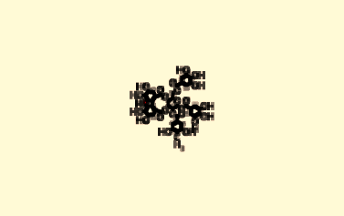 Cc1c(O)cc(C(=O)OC2C(OC(=O)c3cc(O)c(O)c(O)c3)OC(COC(=O)c3cc(O)c(O)c(O)c3)C3OC(=O)c4cc(O)c(O)c(O)c4-c4c(cc(O)c(O)c4O)C(=O)OC32)cc1O